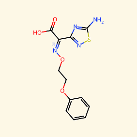 Nc1nc(/C(=N\OCCOc2ccccc2)C(=O)O)ns1